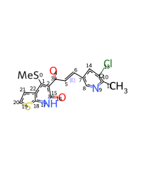 CSc1c(C(=O)/C=C/c2cnc(C)c(Cl)c2)c(=O)[nH]c2sccc12